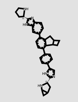 c1cc(-c2ccc(-c3ccc4nc([C@@H]5CCCN5)[nH]c4c3)c3c2C2CCC2C3)ccc1-c1cnc([C@@H]2CC3CC3N2)[nH]1